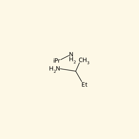 CC(C)N.CCC(C)N